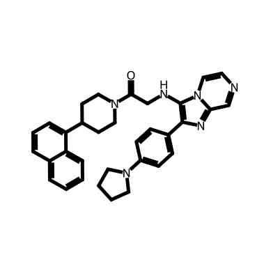 O=C(CNc1c(-c2ccc(N3CCCC3)cc2)nc2cnccn12)N1CCC(c2cccc3ccccc23)CC1